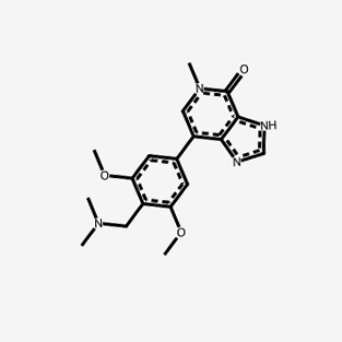 COc1cc(-c2cn(C)c(=O)c3[nH]cnc23)cc(OC)c1CN(C)C